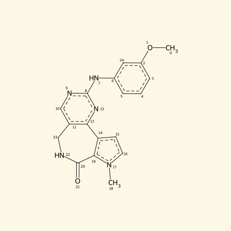 COc1cccc(Nc2ncc3c(n2)-c2ccn(C)c2C(=O)NC3)c1